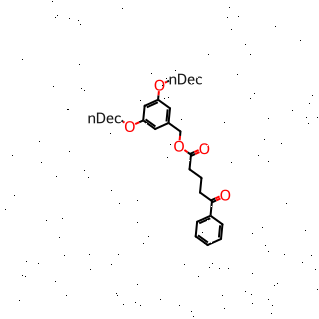 CCCCCCCCCCOc1cc(COC(=O)CCCC(=O)c2ccccc2)cc(OCCCCCCCCCC)c1